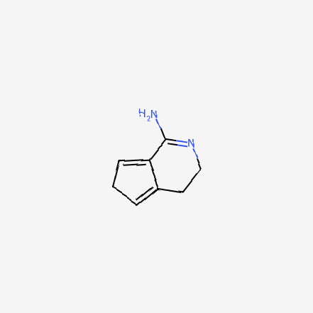 NC1=NCCC2=CCC=C21